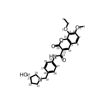 CCOc1c(OC)ccc2cc(C(=O)Nc3ccc(CN4CC[C@H](O)C4)cc3)c(=O)oc12